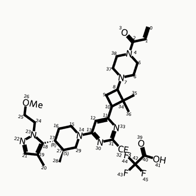 C=CC(=O)N1CCN(C2CC(c3cc(N4CC[C@@H](c5c(C)cnn5CCOC)[C@H](C)C4)nc(C(F)(F)F)n3)C2(C)C)CC1.O=C(O)C(F)(F)F